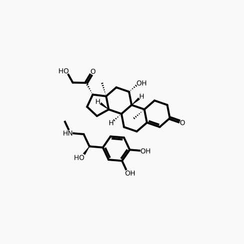 CNC[C@H](O)c1ccc(O)c(O)c1.C[C@]12C[C@H](O)[C@H]3[C@@H](CCC4=CC(=O)CC[C@@]43C)[C@@H]1CC[C@@H]2C(=O)CO